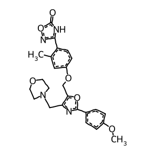 COc1ccc(-c2nc(CN3CCOCC3)c(COc3ccc(-c4noc(=O)[nH]4)c(C)c3)o2)cc1